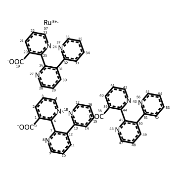 O=C([O-])c1cccnc1-c1ncccc1-c1ccccn1.O=C([O-])c1cccnc1-c1ncccc1-c1ccccn1.O=C([O-])c1cccnc1-c1ncccc1-c1ccccn1.[Ru+3]